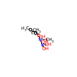 COCC(O)CN(CCCN(CCO)CCO)CC(O)COc1ccc(C(C)(C)c2ccc(C)cc2)cc1